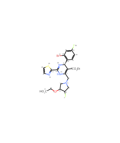 CCOC(=O)C1=C(CN2CC(F)C(OCC(=O)O)C2)NC(c2nccs2)=N[C@H]1c1ccc(F)cc1Br